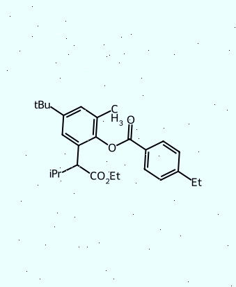 CCOC(=O)C(c1cc(C(C)(C)C)cc(C)c1OC(=O)c1ccc(CC)cc1)C(C)C